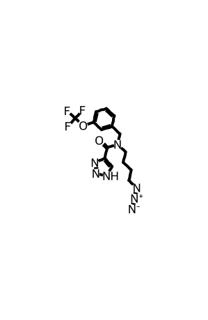 [N-]=[N+]=NCCCCN(Cc1cccc(OC(F)(F)F)c1)C(=O)c1c[nH]nn1